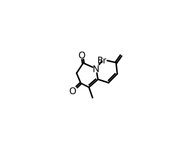 C=C(Br)/C=C\C1=C(C)C(=O)CC(=O)N1C